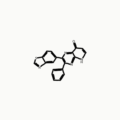 O=c1cc[nH]c2nc(-c3ccccc3)c(-c3ccc4scnc4c3)nc12